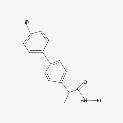 CCNC(=O)C(C)c1ccc(-c2ccc(C(C)C)cc2)cc1